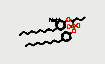 CCCCCCCCCc1ccc(OC(CCC)S(=O)(=O)Oc2ccc(CCCCCCCCC)cc2)cc1.[NaH]